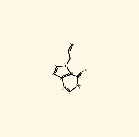 C=CCn1ccc2nc[nH]c(=O)c21